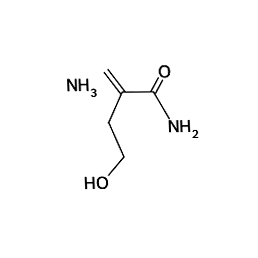 C=C(CCO)C(N)=O.N